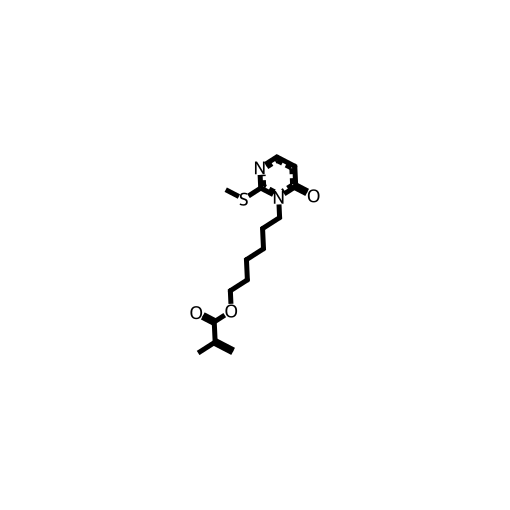 C=C(C)C(=O)OCCCCCCn1c(SC)nccc1=O